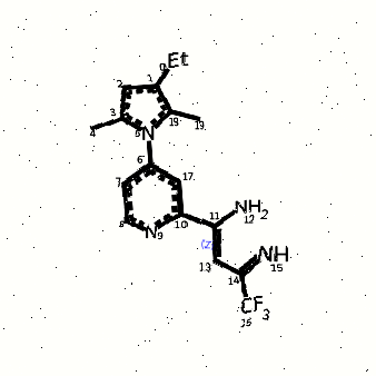 CCc1cc(C)n(-c2ccnc(/C(N)=C/C(=N)C(F)(F)F)c2)c1C